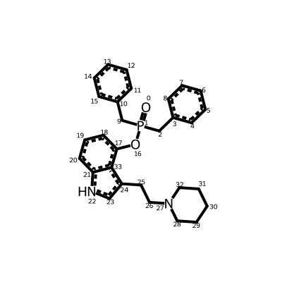 O=P(Cc1ccccc1)(Cc1ccccc1)Oc1cccc2[nH]cc(CCN3CCCCC3)c12